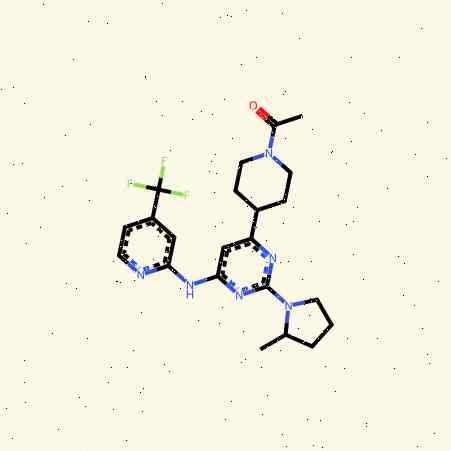 CC(=O)N1CCC(c2cc(Nc3cc(C(F)(F)F)ccn3)nc(N3CCCC3C)n2)CC1